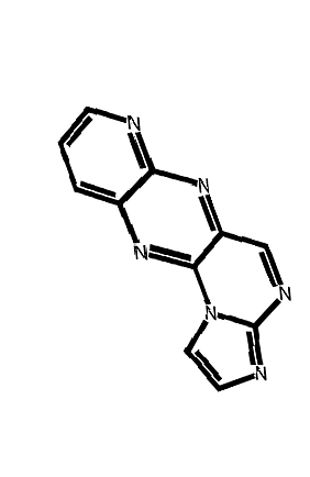 c1cnc2nc3cnc4nccn4c3nc2c1